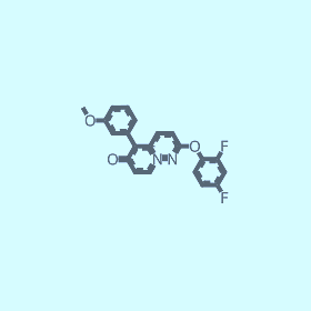 COc1cccc(-c2c(=O)ccn3nc(Oc4ccc(F)cc4F)ccc23)c1